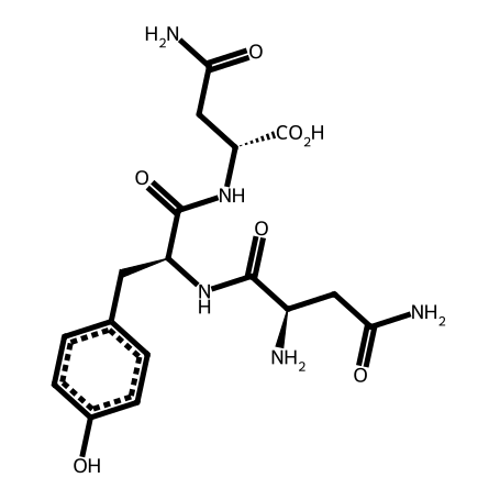 NC(=O)C[C@@H](N)C(=O)N[C@@H](Cc1ccc(O)cc1)C(=O)N[C@H](CC(N)=O)C(=O)O